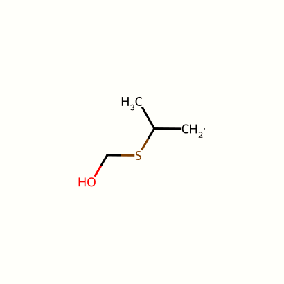 [CH2]C(C)SCO